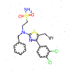 CC(C)Cc1sc(N(CCS(N)(=O)=O)Cc2ccccc2)nc1-c1ccc(Cl)c(Cl)c1